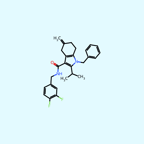 C=C1CCc2c(c(C(=O)NCc3ccc(F)c(F)c3)c(C(C)C)n2Cc2ccccc2)C1